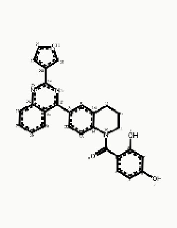 O=C(c1ccc(O)cc1O)N1CCCc2cc(-c3nc(-c4ccsc4)nc4ccccc34)ccc21